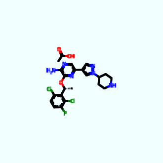 CC(=O)O.C[C@@H](Oc1nc(-c2cnn(C3CCNCC3)c2)cnc1N)c1c(Cl)ccc(F)c1Cl